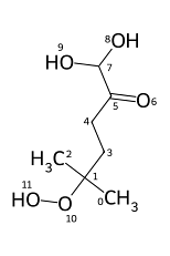 CC(C)(CCC(=O)C(O)O)OO